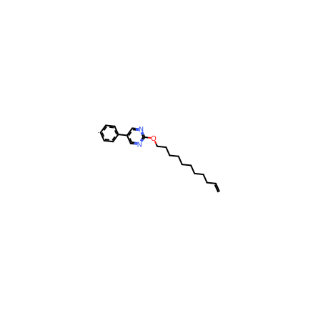 C=CCCCCCCCCCOc1ncc(-c2cc[c]cc2)cn1